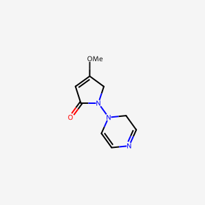 COC1=CC(=O)N(N2C=CN=CC2)C1